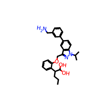 CCCC(c1ccccc1OCc1nn(C(C)C)c2ccc(-c3cccc(CN)c3)cc12)C(O)O